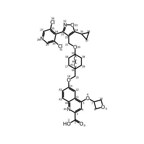 O=C(O)c1cc(OC2COC2)c2cc(OCC34CCC(OCc5c(-c6c(Cl)cncc6Cl)noc5C5CC5)(CC3)CC4)ccc2n1